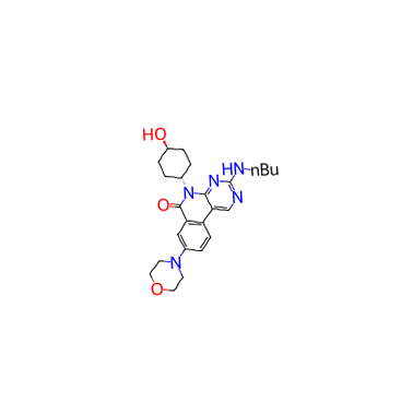 CCCCNc1ncc2c3ccc(N4CCOCC4)cc3c(=O)n([C@H]3CC[C@H](O)CC3)c2n1